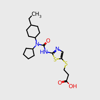 CCC1CCC(N(C(=O)Nc2ncc(SCCC(=O)O)s2)C2CCCC2)CC1